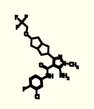 Cn1nc(C2CC3CC(OCC(F)(F)F)CC3C2)c(C(=O)Nc2ccc(F)c(Cl)c2)c1N